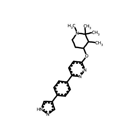 CC1C(Oc2ccc(-c3ccc(-c4cn[nH]c4)cc3)nn2)CCN(C)C1(C)C